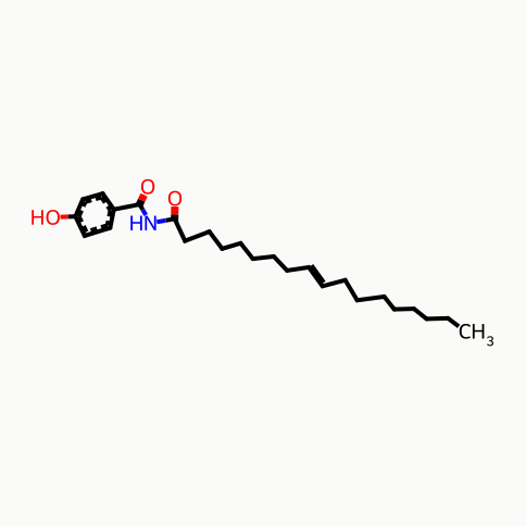 CCCCCCCCC=CCCCCCCCC(=O)NC(=O)c1ccc(O)cc1